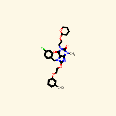 Cn1c(=O)n(CCOC2CCCCO2)c(=O)c2c1nc(OCCOc1cccc(C=O)c1)n2Cc1ccc(Cl)cc1